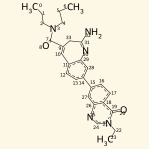 CCCN(CCC)C(=O)C1=Cc2ccc(-c3ccc4c(=O)n(CC)cnc4c3)cc2N=C(N)C1